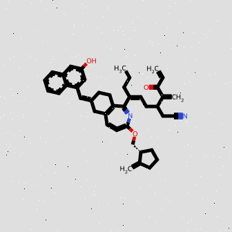 C=CC(=O)C(=C)C(CC#N)C/C=C(/CCC)C1=NC(OC[C@@H]2CCCC2=C)=C=CC2=C1CC/C(=C\c1cc(O)cc3ccccc13)C2